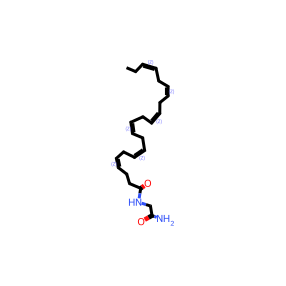 CC/C=C\C/C=C\C/C=C\C/C=C\C/C=C\C/C=C\CCC(=O)NCC(N)=O